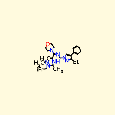 C=NN(CC(C)C)C(C)NC(=C)/C(=N\Cn1cc(C2=CCCC=C2)c(CC)n1)N1CCOCC1